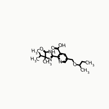 CCC(C)OCc1cnc(C2=NC(C)(C(C)C)C(=O)N2)c(C(=O)O)c1